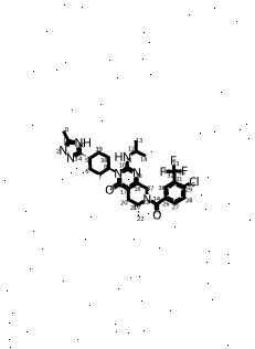 Cc1nnc([C@H]2CC[C@H](n3c(NC(C)C)nc4c(c3=O)C[C@@H](C)N(C(=O)c3ccc(Cl)c(C(F)(F)F)c3)C4)CC2)[nH]1